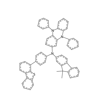 CC1(C)c2ccccc2-c2ccc(N(c3ccc(-c4cccc5c4sc4ccccc45)cc3)c3ccc4c(c3)N(c3ccccc3)c3ccccc3N4c3ccccc3)cc21